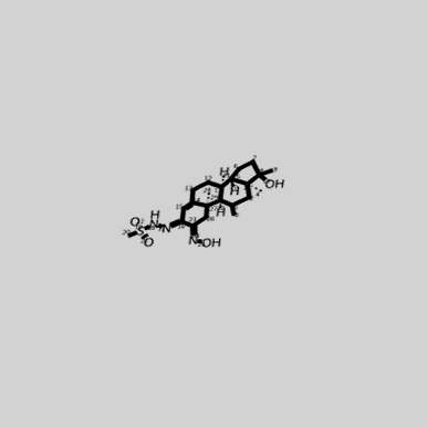 CC1C[C@@]2(C)[C@@H](CCC2(C)O)[C@@H]2CCC3=CC(=NNS(C)(=O)=O)C(=NO)C[C@]3(C)[C@H]12